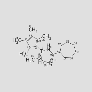 CC1=C(C)C(C)[C]([Ti]([NH]C(=O)C2CCCCCC2)[SiH](C)C)=C1C